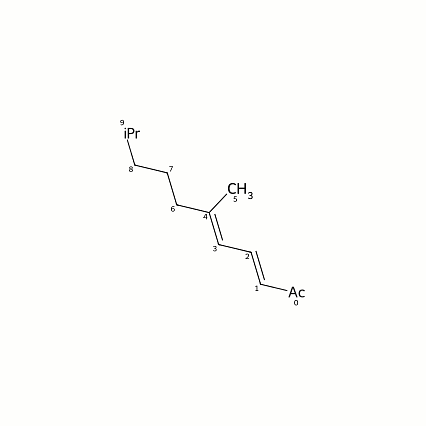 CC(=O)/C=C/C=C(\C)CCCC(C)C